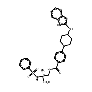 CC(C)(C)[C@@](CNC(=O)c1ccc(N2CCC(Nc3nc4ncccc4[nH]3)CC2)cc1)(NS(=O)(=O)c1ccccc1)C(=O)O